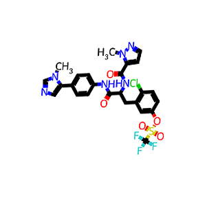 Cn1cncc1-c1ccc(NC(=O)C(Cc2cc(OS(=O)(=O)C(F)(F)F)ccc2Cl)NC(=O)c2ccnn2C)cc1